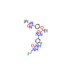 CCC(Oc1ccc(-c2noc(C(C)C)n2)cc1)c1nc(-c2ccc(NC(=O)NCCF)c(F)c2)no1